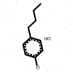 CCCCc1ccc(Cl)cc1.Cl